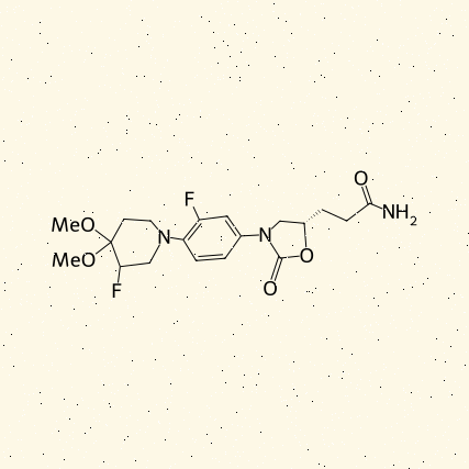 COC1(OC)CCN(c2ccc(N3C[C@H](CCC(N)=O)OC3=O)cc2F)CC1F